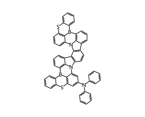 c1ccc(N(c2ccccc2)c2cc3c4c(c2)-n2c5ccc6c7cccc8c7n(c6c5c5cccc(c52)B4c2ccccc2S3)-c2cccc3c2B8c2ccccc2S3)cc1